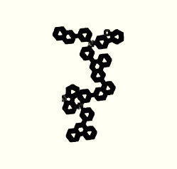 c1cc(-c2ccc3ccccc3c2)cc(N(c2cccc(-c3cc4ccc(-c5cccc6ccc(-c7cccc(N(c8cccc(-c9cc%10ccccc%10c%10ccccc9%10)c8)c8cccc9sc%10ccccc%10c89)c7)cc56)cc4c4ccccc34)c2)c2ccc3c(c2)oc2ccccc23)c1